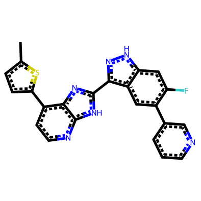 Cc1ccc(-c2ccnc3[nH]c(-c4n[nH]c5cc(F)c(-c6cccnc6)cc45)nc23)s1